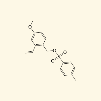 C=Cc1cc(OC)ccc1COS(=O)(=O)c1ccc(C)cc1